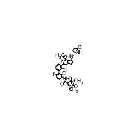 COc1nc(-c2cccc(-c3c(F)ccc(NC(=O)c4cn(C)c(=O)n(C)c4=O)c3Cl)c2Cl)cc2c1[C@@H](NC[C@@H]1CCC(=O)N1)CC2